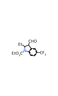 CCOC(=O)N1c2ccc(C(F)(F)F)cc2C(C=O)C1CC